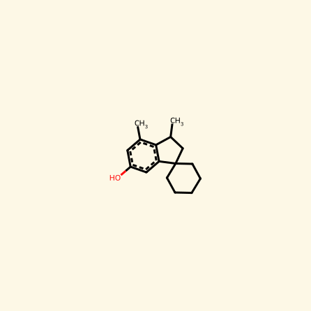 Cc1cc(O)cc2c1C(C)CC21CCCCC1